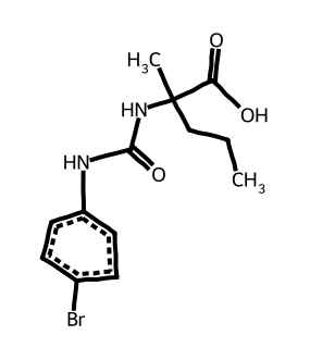 CCCC(C)(NC(=O)Nc1ccc(Br)cc1)C(=O)O